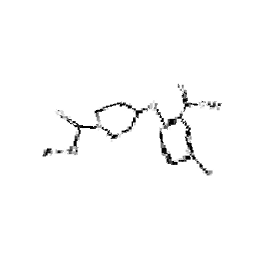 COC(=O)c1cc(F)ccc1OC1CCN(C(=O)OC(C)(C)C)CC1